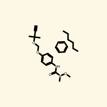 C#CC(C)(C)OCOc1ccc(NC(=O)N(C)OC)cc1.CCCCCC.c1ccccc1